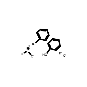 O=[PH]([O-])[O-].Oc1ccccc1.Oc1ccccc1.[K+].[K+]